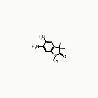 CCCN1C(=O)C(C)(C)c2cc(N)c(N)cc21